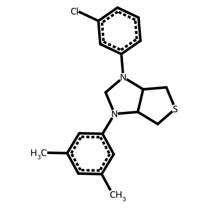 Cc1cc(C)cc(N2CN(c3cccc(Cl)c3)C3CSCC32)c1